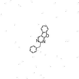 c1ccc(Cc2ncc3c(n2)oc2ccccc23)cc1